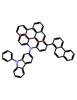 c1ccc(-c2cccc3cccc(-c4ccccc4N(c4ccc(-c5cccc6c5ccc5ccccc56)cc4)c4ccc5c6ccccc6n(-c6ccccc6)c5c4)c23)cc1